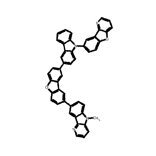 Cn1c2ccc(-c3ccc4oc5ccc(-c6ccc7c(c6)c6ccccc6n7-c6ccc7oc8cccnc8c7c6)cc5c4c3)cc2c2ncccc21